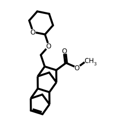 COC(=O)C1C(COC2CCCCO2)C2CC1C1C3C=CC(C3)C21